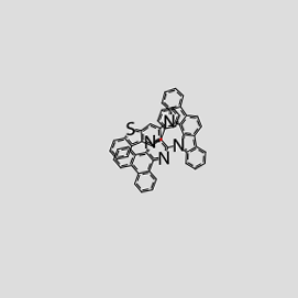 c1ccc(-c2nc3c4ccccc4c4ccccc4c3nc2-n2c3ccccc3c3ccc4c5ccccc5n(-c5ccc6c(c5)sc5ccccc56)c4c32)cc1